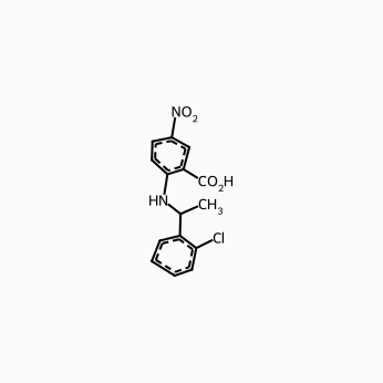 CC(Nc1ccc([N+](=O)[O-])cc1C(=O)O)c1ccccc1Cl